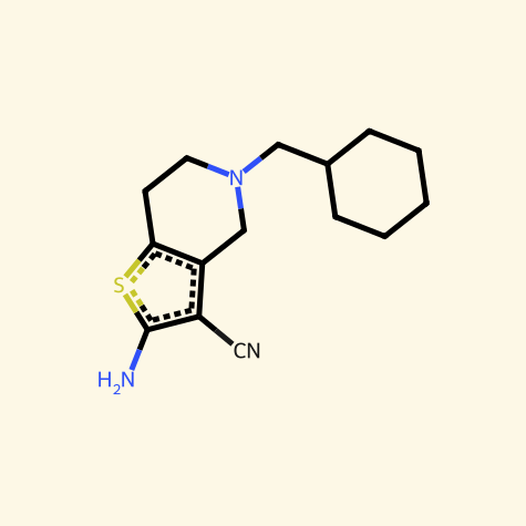 N#Cc1c(N)sc2c1CN(CC1CCCCC1)CC2